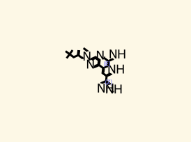 C=C(CN(CC)c1ccc(C2=CC(/C(C=N)=C/NC)=CN/C2=C(/C#N)C=N)cn1)CC(C)(C)C